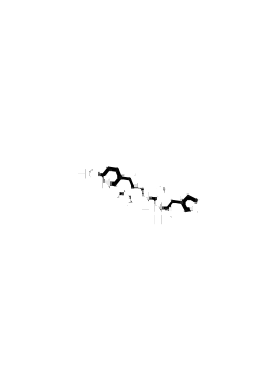 C[C@@H](Cc1ccsc1)NC(=O)NC[C@H](Cc1ccc(O)nc1)N(C)C